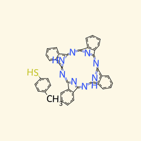 Cc1ccc(S)cc1.c1ccc2c(c1)-c1nc-2nc2[nH]c(nc3nc(nc4[nH]c(n1)c1ccccc41)-c1ccccc1-3)c1ccccc21